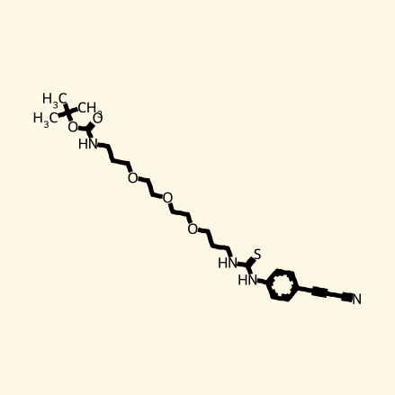 CC(C)(C)OC(=O)NCCCOCCOCCOCCCNC(=S)Nc1ccc(C#CC#N)cc1